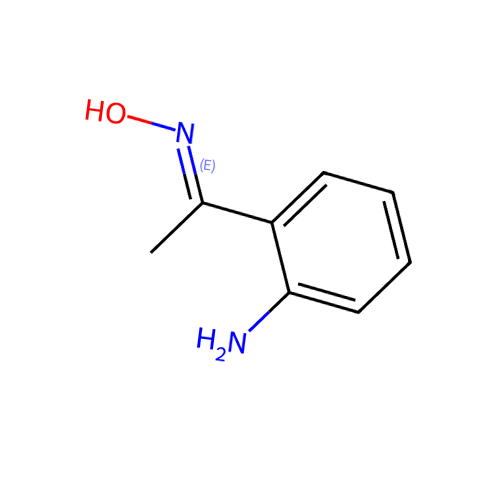 C/C(=N\O)c1ccccc1N